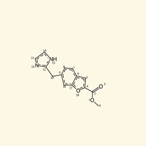 COC(=O)c1cc2ccc(Cc3ncc[nH]3)cc2o1